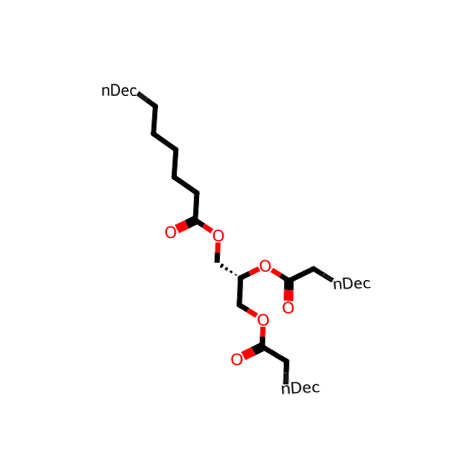 CCCCCCCCCCCCCCCC(=O)OC[C@@H](COC(=O)CCCCCCCCCCC)OC(=O)CCCCCCCCCCC